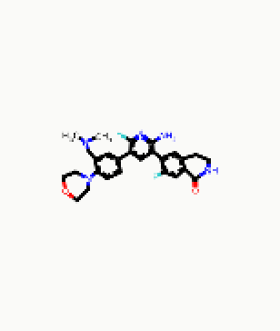 CN(C)Cc1cc(-c2cc(-c3cc4c(cc3F)C(=O)NCC4)c(N)nc2F)ccc1N1CCOCC1